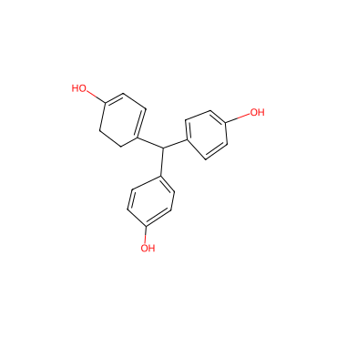 OC1=CC=C(C(c2ccc(O)cc2)c2ccc(O)cc2)CC1